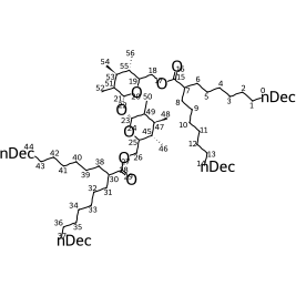 CCCCCCCCCCCCCCCCC(CCCCCCCCCCCCCCCC)C(=O)OCC1O[C@H](O[C@H]2OC(COC(=O)C(CCCCCCCCCCCCCCCC)CCCCCCCCCCCCCCCC)[C@@H](C)[C@H](C)C2C)C(C)[C@@H](C)[C@@H]1C